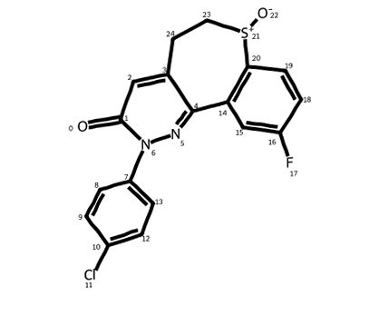 O=c1cc2c(nn1-c1ccc(Cl)cc1)-c1cc(F)ccc1[S+]([O-])CC2